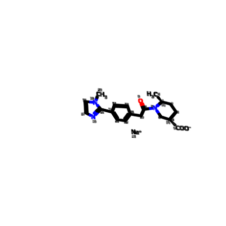 C[C@H]1CC[C@@H](C(=O)[O-])CN1C(=O)Cc1ccc(-c2nccn2C)cc1.[Na+]